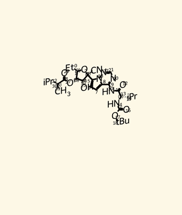 CC[C@H]1O[C@@](C#N)(c2ccc3c(NC(=O)[C@@H](NC(=O)OC(C)(C)C)C(C)C)ncnn23)[C@H](O)[C@@H]1OC(=O)[C@@H](C)C(C)C